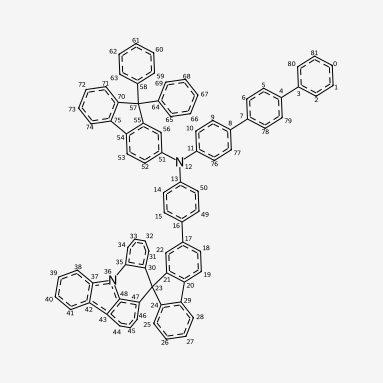 c1ccc(-c2ccc(-c3ccc(N(c4ccc(-c5ccc6c(c5)C5(c7ccccc7-6)c6ccccc6-n6c7ccccc7c7cccc5c76)cc4)c4ccc5c(c4)C(c4ccccc4)(c4ccccc4)c4ccccc4-5)cc3)cc2)cc1